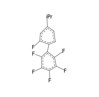 CC(C)c1ccc(-c2c(F)c(F)c(F)c(F)c2F)c(F)c1